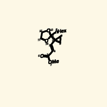 CCCCCCC1(C2(C=CC(=O)OC)CC2)OCCO1